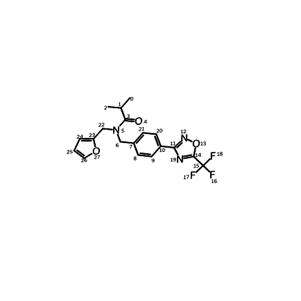 CC(C)C(=O)N(Cc1ccc(-c2noc(C(F)(F)F)n2)cc1)Cc1ccco1